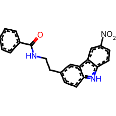 O=C(NCCc1ccc2[nH]c3ccc([N+](=O)[O-])cc3c2c1)c1ccccc1